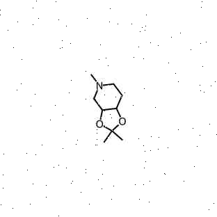 CN1CCC2OC(C)(C)OC2C1